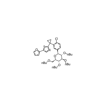 CCCCOC[C@H]1O[C@@H](c2ccc(Cl)c(C3(c4ncc(-c5ccco5)s4)CC3)c2)[C@H](OCCCC)[C@@H](OCCCC)[C@@H]1OCCCC